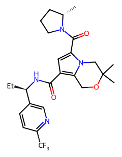 CC[C@@H](NC(=O)c1cc(C(=O)N2CCC[C@@H]2C)n2c1COC(C)(C)C2)c1ccc(C(F)(F)F)nc1